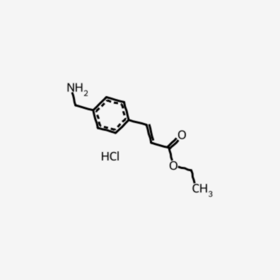 CCOC(=O)C=Cc1ccc(CN)cc1.Cl